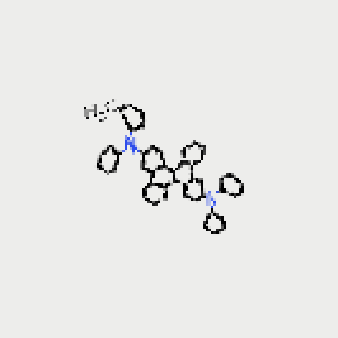 Cc1cccc(N(c2ccccc2)c2ccc3c(c2)c2ccccc2c2c4ccc(N(c5ccccc5)c5ccccc5)cc4c4ccccc4c32)c1